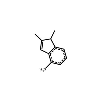 CC1=Cc2c(N)cccc2C1C